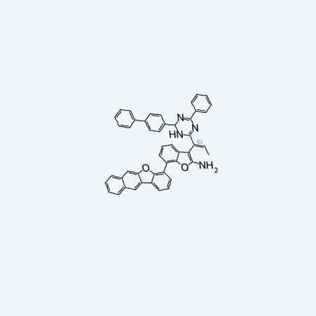 C/C=C(/C1=NC(c2ccccc2)=NC(c2ccc(-c3ccccc3)cc2)N1)c1c(N)oc2c(-c3cccc4c3oc3cc5ccccc5cc34)cccc12